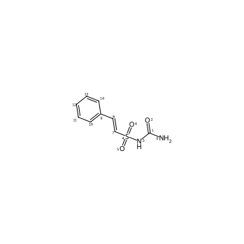 NC(=O)NS(=O)(=O)C=Cc1ccccc1